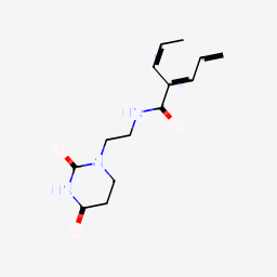 C=C/C=C(\C=C/C)C(=O)NCCN1CCC(=O)NC1=O